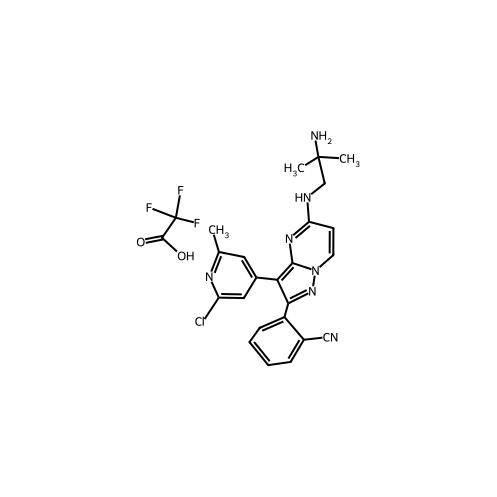 Cc1cc(-c2c(-c3ccccc3C#N)nn3ccc(NCC(C)(C)N)nc23)cc(Cl)n1.O=C(O)C(F)(F)F